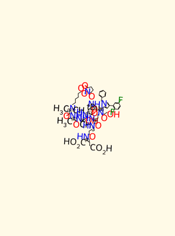 C[C@H](NC(=O)[C@H](C)N(C)CCCCCC(=O)ON1C(=O)CCC1=O)C(=O)N[C@H](C)C(O)N[C@@H](CC(N)=O)C(=O)N[C@@H](CCN(C(=O)CO)[C@@H](c1cc(-c2cc(F)ccc2F)cn1Cc1ccccc1)C(C)(C)C)C(=O)NCCC(=O)N[C@H](CCC(=O)O)C(=O)O